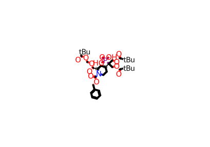 CC(C)(C)C(=O)OCOC(=O)[C@H]1C[C@@H](C(COC(=O)C(C)(C)C)(COC(=O)C(C)(C)C)P(=O)(O)O)CCN1C(=O)OCc1ccccc1